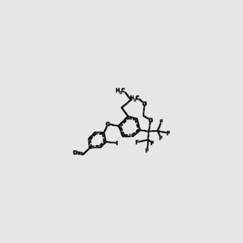 CCCc1cc(C(OCOC)(C(F)(F)F)C(F)(F)F)ccc1Oc1ccc(C=O)cc1I